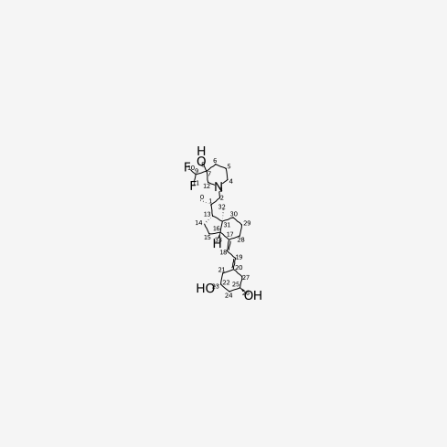 C[C@H](CN1CCCC(O)(C(F)F)C1)[C@H]1CC[C@H]2/C(=C/C=C3C[C@@H](O)C[C@H](O)C3)CCC[C@]12C